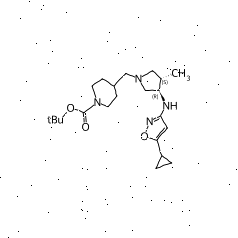 C[C@H]1CN(CC2CCN(C(=O)OC(C)(C)C)CC2)C[C@@H]1Nc1cc(C2CC2)on1